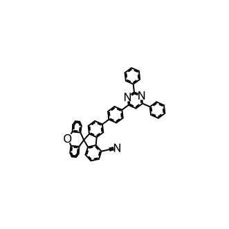 N#Cc1cccc2c1-c1cc(-c3ccc(-c4cc(-c5ccccc5)nc(-c5ccccc5)n4)cc3)ccc1C21c2ccccc2Oc2ccccc21